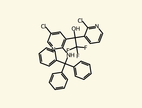 OC(c1cccnc1Cl)(c1cc(Cl)cnc1NC(c1ccccc1)(c1ccccc1)c1ccccc1)C(F)(F)F